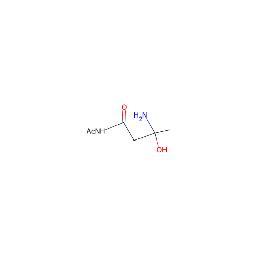 CC(=O)NC(=O)CC(C)(N)O